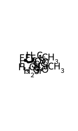 C[SiH]1O[SiH2]O[Si](C)(C(F)CC(F)(F)F)O[Si](C)(C)O1